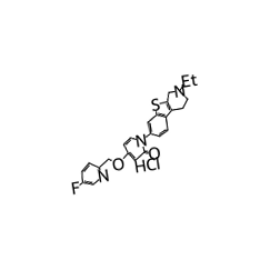 CCN1CCc2c(sc3cc(-n4ccc(OCc5ccc(F)cn5)cc4=O)ccc23)C1.Cl